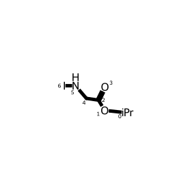 CC(C)OC(=O)CNI